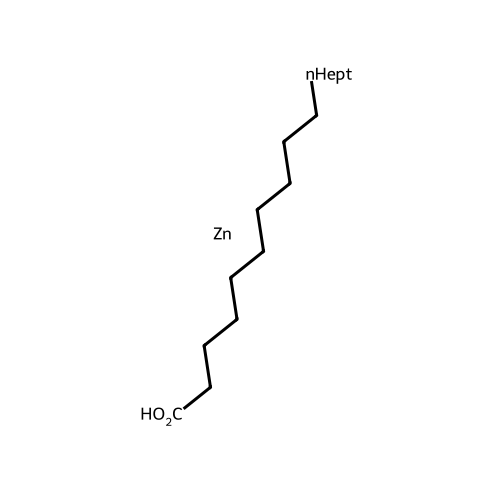 CCCCCCCCCCCCCCCCC(=O)O.[Zn]